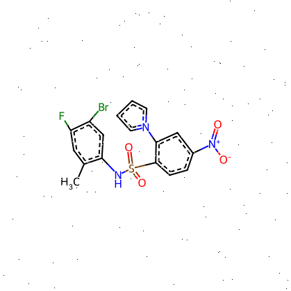 Cc1cc(F)c(Br)cc1NS(=O)(=O)c1ccc([N+](=O)[O-])cc1-n1cccc1